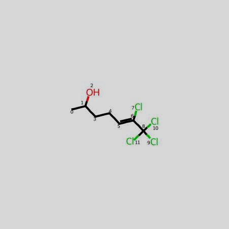 CC(O)CCC=C(Cl)C(Cl)(Cl)Cl